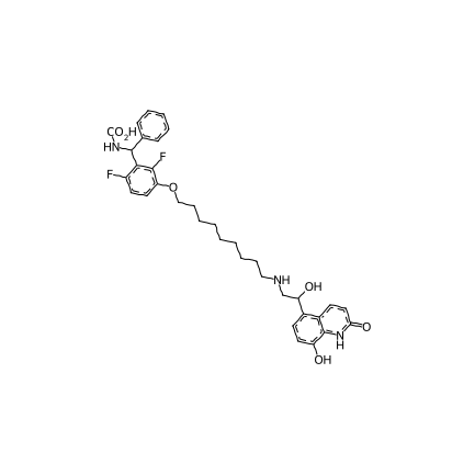 O=C(O)NC(c1ccccc1)c1c(F)ccc(OCCCCCCCCCNCC(O)c2ccc(O)c3[nH]c(=O)ccc23)c1F